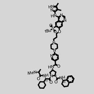 CN[C@@H](C)C(=O)N[C@H](C(=O)N1C[C@@H](NC(=O)c2ccc(N3CCN(CCCOc4cc5ncnc(Nc6n[nH]c(C)c6C)c5cc4S(=O)(=O)C(C)(C)C)CC3)nc2)C[C@H]1C(=O)N[C@@H]1CCCc2ccccc21)C1CCCCC1